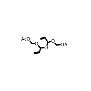 C=CC(OCOC(C)=O)OC(C=C)OCOC(C)=O